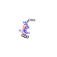 COCCN[C@H]1COc2c(S(N)(=O)=NC(=O)Nc3c4c(cc5c3CCC5)CCC4)cnn2C1